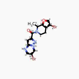 CC1c2occ(Br)c2CCN1C(=O)c1cc2ncc(Br)cn2n1